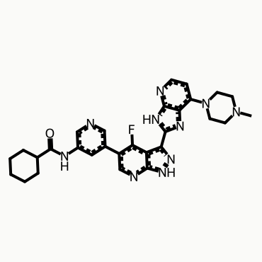 CN1CCN(c2ccnc3[nH]c(-c4n[nH]c5ncc(-c6cncc(NC(=O)C7CCCCC7)c6)c(F)c45)nc23)CC1